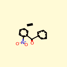 C#C.O=C(c1ccccc1)c1ccccc1[N+](=O)[O-]